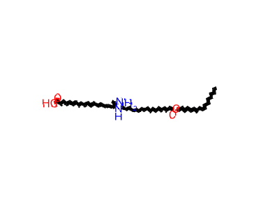 CCCCCCCC/C=C\CCCCCCCCOC(=O)CCCCCCCCCCCCCCCCCNC(CCCCCCCCCCCCCCCCCC(=O)O)C(C)N